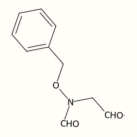 O=[C]CN(C=O)OCc1ccccc1